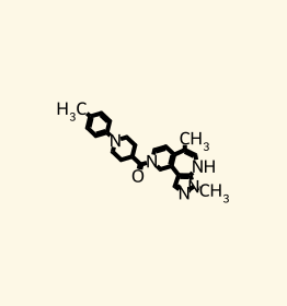 CC1=CNc2c(cnn2C)C2=C1C=CN(C(=O)C1CCN(c3ccc(C)cc3)CC1)C2